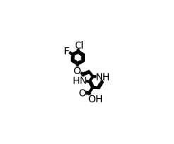 O=C(O)C1=C2NC(Oc3ccc(Cl)c(F)c3)=CC2NC=C1